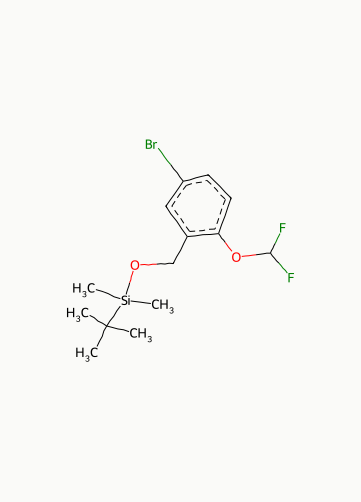 CC(C)(C)[Si](C)(C)OCc1cc(Br)ccc1OC(F)F